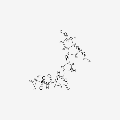 C=C[C@@H]1C[C@]1(NC(=O)[C@@H]1C[C@@H](Oc2cc(OCC)nc3c(C)c(OC)ccc23)CN1)C(=O)NS(=O)(=O)C1(C)CC1